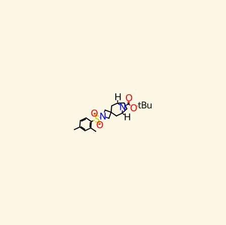 Cc1ccc(S(=O)(=O)N2CC3(C[C@H]4CC[C@@H](C3)N4C(=O)OC(C)(C)C)C2)c(C)c1